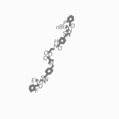 CCCCN(C(=O)c1ccccc1F)c1nnc(-c2ccc(C(=O)NCCC(=O)OC(=O)C3CN(Cc4ccc(-c5nnc(N(CC)C(=O)c6ccccc6F)s5)cc4)C3)cc2)s1